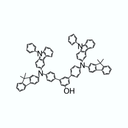 CC1(C)c2ccccc2-c2ccc(N(c3ccc(-c4cc(O)cc(-c5ccc(N(c6ccc7c(c6)C(C)(C)c6ccccc6-7)c6ccc7c(c6)c6ccccc6n7-c6ccccc6)cc5)c4)cc3)c3ccc4c(c3)c3ccccc3n4-c3ccccc3)cc21